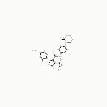 CCOC(=O)c1nn(-c2ccc(OC)cc2F)c2c1C1(CC1)CN(c1ccc(N3CCCCC3=O)cc1)C2=O